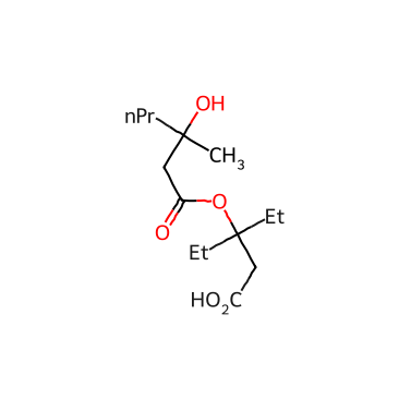 CCCC(C)(O)CC(=O)OC(CC)(CC)CC(=O)O